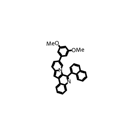 COc1cc(OC)cc(-c2ccc3cc4c5ccccc5nc(-c5cccc6ccccc56)c4n3c2)c1